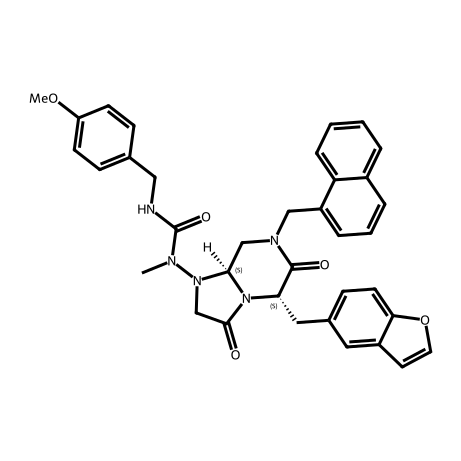 COc1ccc(CNC(=O)N(C)N2CC(=O)N3[C@@H](Cc4ccc5occc5c4)C(=O)N(Cc4cccc5ccccc45)C[C@@H]32)cc1